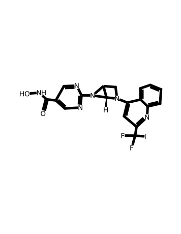 O=C(NO)c1cnc(N2C3CN(c4cc(C(F)(F)I)nc5ccccc45)[C@@H]32)nc1